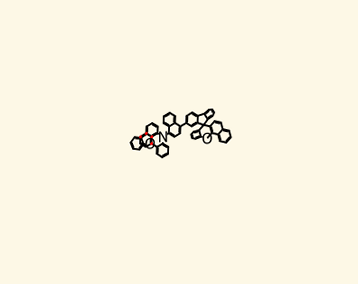 c1ccc(-c2ccccc2N(c2ccc(-c3ccc4c(c3)C3(c5ccccc5Oc5c3ccc3ccccc53)c3ccccc3-4)c3ccccc23)c2cccc3c2oc2ccccc23)cc1